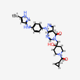 CC(C)(C)c1cc(Nc2ccc(-n3ncc4c(=O)n(CC5(O)CCN(C(=O)C6CC6)CC5)cnc43)cc2)n[nH]1